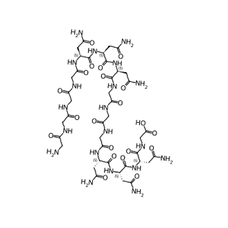 NCC(=O)NCC(=O)NCC(=O)NCC(=O)N[C@@H](CC(N)=O)C(=O)N[C@@H](CC(N)=O)C(=O)N[C@@H](CC(N)=O)C(=O)NCC(=O)NCC(=O)NCC(=O)N[C@@H](CC(N)=O)C(=O)N[C@@H](CC(N)=O)C(=O)N[C@@H](CC(N)=O)C(=O)NCC(=O)O